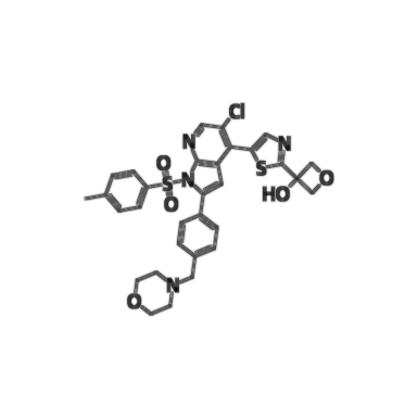 Cc1ccc(S(=O)(=O)n2c(-c3ccc(CN4CCOCC4)cc3)cc3c(-c4cnc(C5(O)COC5)s4)c(Cl)cnc32)cc1